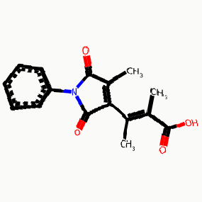 CC(C(=O)O)=C(C)C1=C(C)C(=O)N(c2ccccc2)C1=O